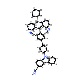 N#Cc1ccc2c(c1)c1ccccc1n2-c1ccc(-c2cc(C#N)c(-c3c4ccccc4c(-c4ccccc4)c4ccccc34)c(C#N)c2)cc1